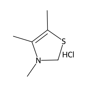 CC1=C(C)N(C)CS1.Cl